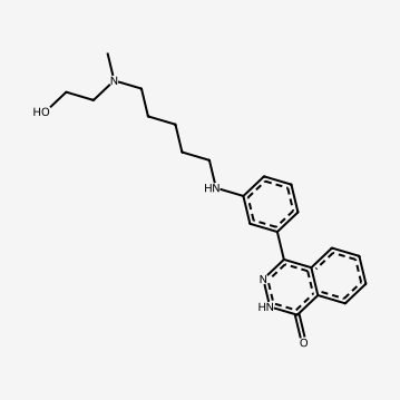 CN(CCO)CCCCCNc1cccc(-c2n[nH]c(=O)c3ccccc23)c1